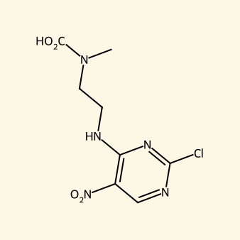 CN(CCNc1nc(Cl)ncc1[N+](=O)[O-])C(=O)O